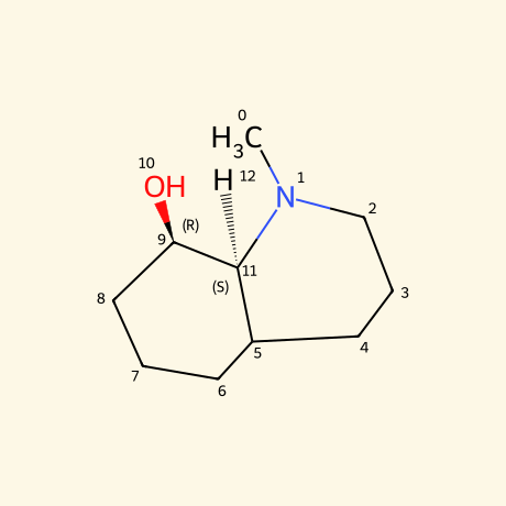 CN1CCCC2CCC[C@@H](O)[C@H]21